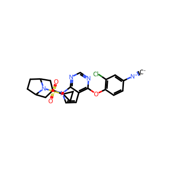 [C-]#[N+]c1ccc(Oc2ncnc3c2ccn3C2CC3CCC(C2)N3S(=O)(=O)C2CC2)c(Cl)c1